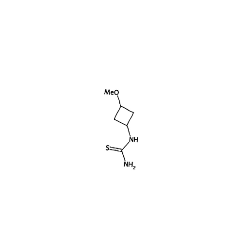 COC1CC(NC(N)=S)C1